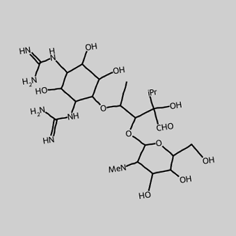 CNC1C(OC(C(C)OC2C(O)C(O)C(NC(=N)N)C(O)C2NC(=N)N)C(O)(C=O)C(C)C)OC(CO)C(O)C1O